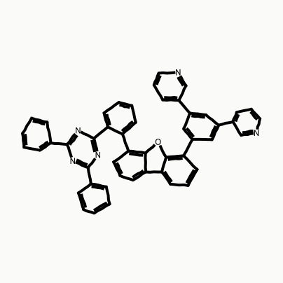 c1ccc(-c2nc(-c3ccccc3)nc(-c3ccccc3-c3cccc4c3oc3c(-c5cc(-c6cccnc6)cc(-c6cccnc6)c5)cccc34)n2)cc1